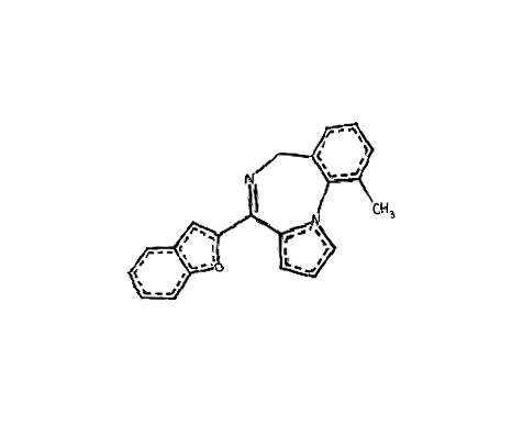 Cc1cccc2c1-n1cccc1C(c1cc3ccccc3o1)=NC2